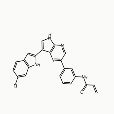 C=CC(=O)Nc1cccc(-c2cnc3[nH]cc(-c4cc5ccc(Cl)cc5[nH]4)c3n2)c1